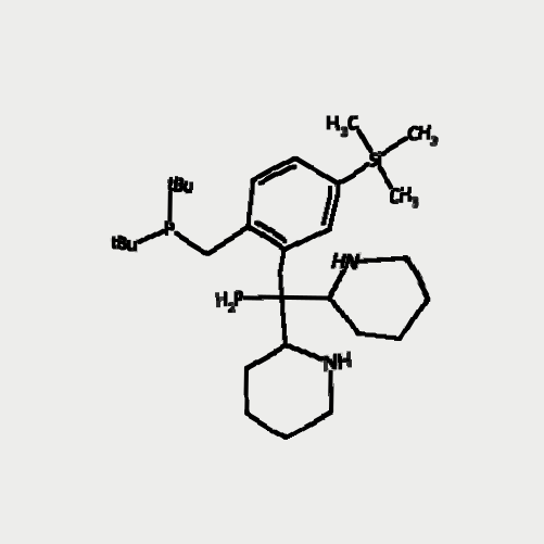 CC(C)(C)P(Cc1ccc([Si](C)(C)C)cc1C(P)(C1CCCCN1)C1CCCCN1)C(C)(C)C